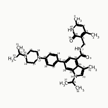 Cc1cc(C)c(CNC(=O)c2cc(-c3ccc(N4CCN(C(C)C)CC4)cc3)cc3c2c(C)cn3C(C)C)c(=O)[nH]1